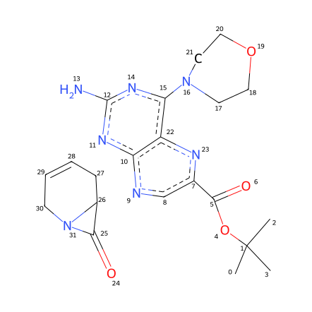 CC(C)(C)OC(=O)c1cnc2nc(N)nc(N3CCOCC3)c2n1.O=C1C2CC=CCN12